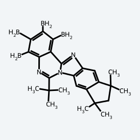 Bc1c(B)c(B)c2c(nc(C(C)(C)C)n3c4cc5c(cc4nc23)C(C)(C)CC5(C)C)c1B